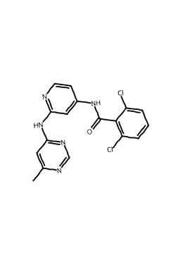 Cc1cc(Nc2cc(NC(=O)c3c(Cl)cccc3Cl)ccn2)ncn1